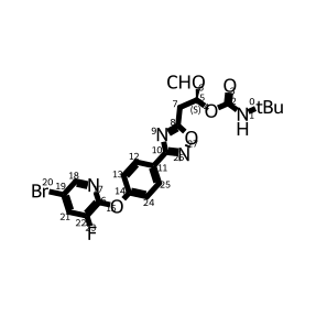 CC(C)(C)NC(=O)O[C@H](C=O)Cc1nc(-c2ccc(Oc3ncc(Br)cc3F)cc2)no1